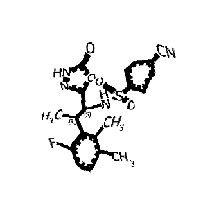 Cc1ccc(F)c([C@@H](C)[C@H](NS(=O)(=O)c2ccc(C#N)cc2)c2n[nH]c(=O)o2)c1C